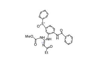 CCC(=O)/N=C(/NC(=O)OC)Nc1cc([S+]([O-])c2ccccc2)ccc1NC(=O)c1ccccc1